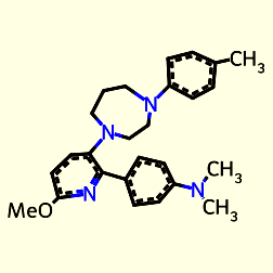 COc1ccc(N2CCCN(c3ccc(C)cc3)CC2)c(-c2ccc(N(C)C)cc2)n1